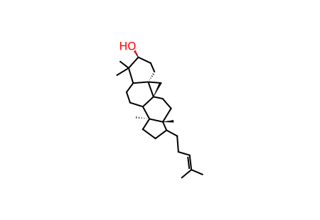 CC(C)=CCCC1CC[C@@]2(C)C3CCC4C(C)(C)[C@@H](O)CC[C@@]45C[C@@]35CC[C@]12C